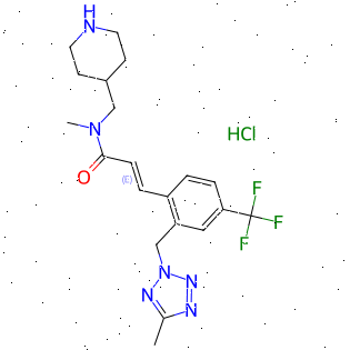 Cc1nnn(Cc2cc(C(F)(F)F)ccc2/C=C/C(=O)N(C)CC2CCNCC2)n1.Cl